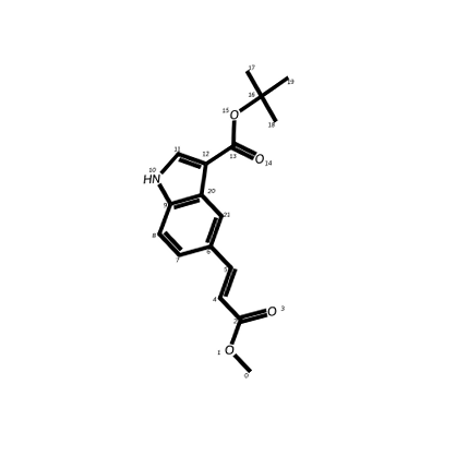 COC(=O)C=Cc1ccc2[nH]cc(C(=O)OC(C)(C)C)c2c1